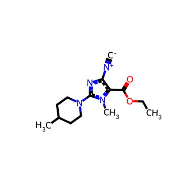 [C-]#[N+]c1nc(N2CCC(C)CC2)n(C)c1C(=O)OCC